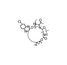 CC[C@@H]1[C@@H]2CN(C(=O)[C@H](C(C)(C)C)NC(=O)O[C@]3(C)C[C@H]3CCCCCc3nc4ccc(Cl)cc4nc3O2)[C@@H]1C(C)=O